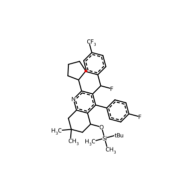 CC1(C)Cc2nc(C3CCCC3)c(C(F)c3ccc(C(F)(F)F)cc3)c(-c3ccc(F)cc3)c2C(O[Si](C)(C)C(C)(C)C)C1